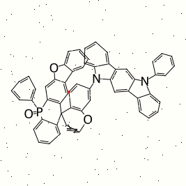 O=P1(c2ccccc2)c2ccccc2C2(c3ccccc3Oc3cc(-n4c5ccccc5c5cc6c(cc54)c4ccccc4n6-c4ccccc4)ccc32)c2cc3c(cc21)oc1ccccc13